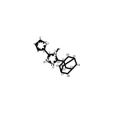 Cn1c(-c2cccs2)nnc1C12CC3CC(CC(C3)C1)C2